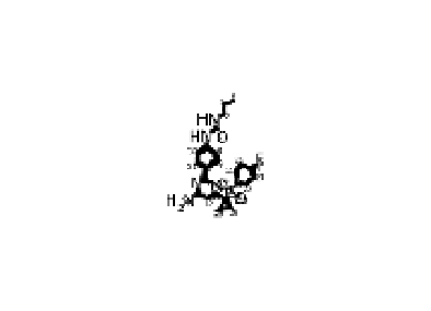 CCCNC(=O)Nc1ccc(-c2nc(N)cc(C3(S(=O)(=O)c4ccc(F)cc4)CC3)n2)cc1